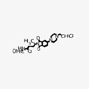 CC(CCC(=O)NC=O)N1C(=O)c2ccc(N3CCN(CC=O)CC3)cc2C1=O